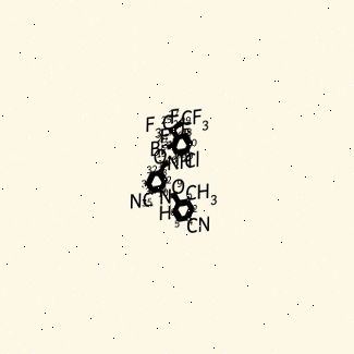 Cc1cc(C#N)ccc1C(=O)Nc1cc(C(=O)Nc2c(Cl)ccc(C(F)(C(F)(F)F)C(F)(F)C(F)(F)F)c2Br)ccc1C#N